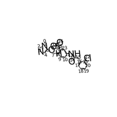 Cn1cncc1OCc1ccc(NC(=O)Cc2ccccc2Cl)cc1[SH](=O)=O